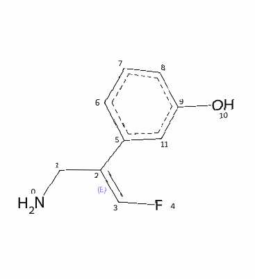 NC/C(=C/F)c1cccc(O)c1